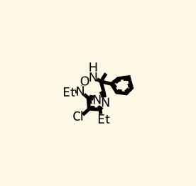 CCc1nc2nc(c1Cl)N(CC)ONC2(C)c1ccccc1